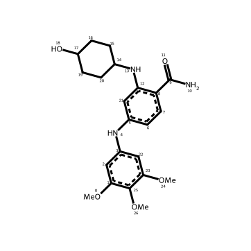 COc1cc(Nc2ccc(C(N)=O)c(NC3CCC(O)CC3)c2)cc(OC)c1OC